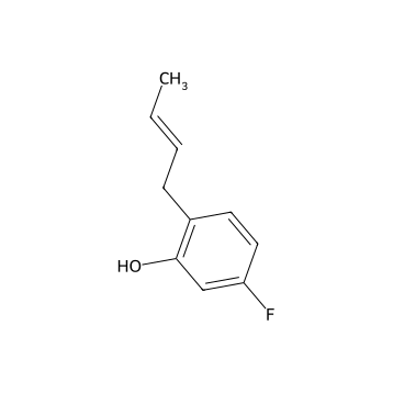 CC=CCc1ccc(F)cc1O